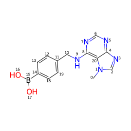 Cn1cnc2ncnc(NCc3ccc(B(O)O)cc3)c21